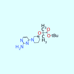 CC(C)(C)OC(=O)C(C)(C)O[C@@H]1CCCN(c2ccnc(N)n2)C1